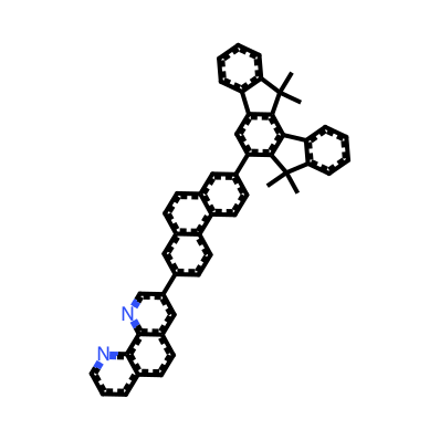 CC1(C)c2ccccc2-c2c1c(-c1ccc3c(ccc4cc(-c5cnc6c(ccc7cccnc76)c5)ccc43)c1)cc1c2C(C)(C)c2ccccc2-1